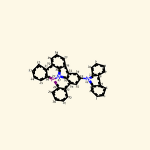 c1ccc2c(c1)c1ccccc1n2-c1cc2c3cccc4c5ccccc5p5c6ccccc6c(c1)c2n-5c34